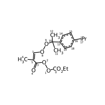 CCOC(=O)OOC(=O)C(C)=COOC(C)(C)c1ccc(C(C)C)cc1